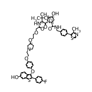 Cc1ncsc1-c1ccc(CNC(=O)[C@@H]2C[C@@H](O)CN2C(=O)[C@@H](NC(=O)COCCO[C@H]2CCN(CCOc3ccc(Oc4c(-c5ccc(F)cc5)sc5cc(O)ccc45)cc3)C2)C(C)(C)C)cc1